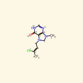 CN1CN(CC=C(Cl)C(F)(F)F)c2c1nc[nH]c2=O